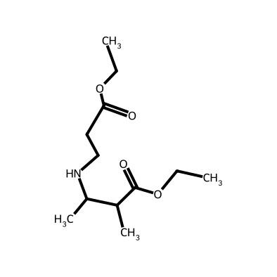 CCOC(=O)CCNC(C)C(C)C(=O)OCC